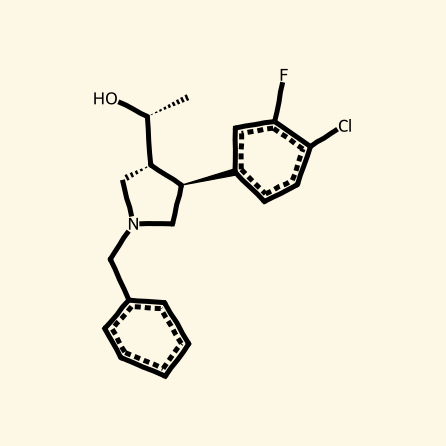 C[C@@H](O)[C@H]1CN(Cc2ccccc2)C[C@@H]1c1ccc(Cl)c(F)c1